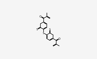 C=C(C)C(=O)C1=CC=C(SC2=CC=C(C(=O)C(=C)C)CC2=S)C(=S)C1